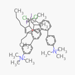 CCCCC1=Cc2c(-c3ccc([N+](C)(C)C)cc3)cccc2[CH]1[Zr]([Cl])([Cl])([I])([I])([CH]1C(CCCC)=Cc2c(-c3ccc([N+](C)(C)C)cc3)cccc21)[SiH](C)C